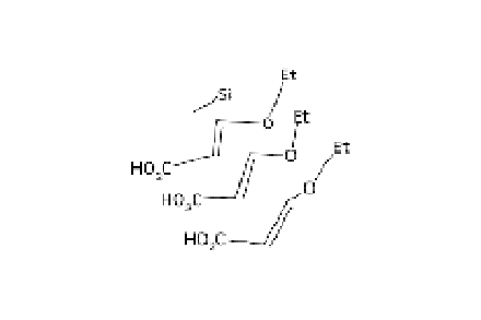 CCOC=CC(=O)O.CCOC=CC(=O)O.CCOC=CC(=O)O.C[Si]